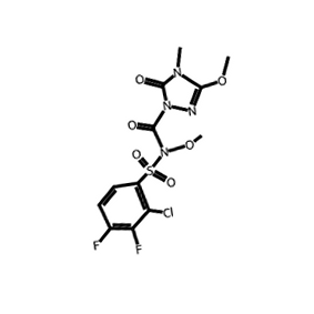 COc1nn(C(=O)N(OC)S(=O)(=O)c2ccc(F)c(F)c2Cl)c(=O)n1C